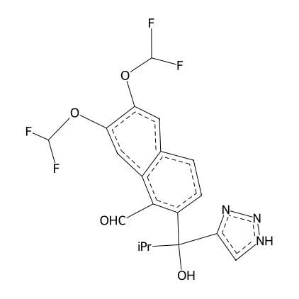 CC(C)C(O)(c1c[nH]nn1)c1ccc2cc(OC(F)F)c(OC(F)F)cc2c1C=O